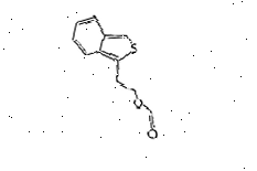 O=COCCc1scc2ccccc12